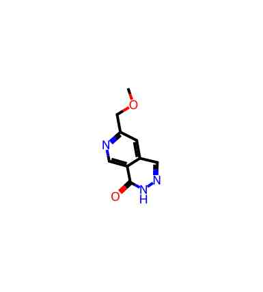 COCc1cc2cn[nH]c(=O)c2cn1